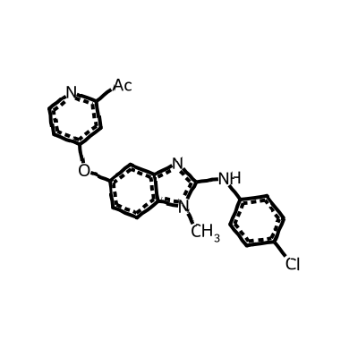 CC(=O)c1cc(Oc2ccc3c(c2)nc(Nc2ccc(Cl)cc2)n3C)ccn1